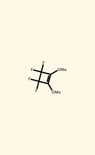 COC1=C(OC)C(F)(F)C1(F)F